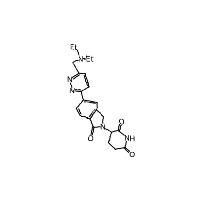 CCN(CC)Cc1ccc(-c2ccc3c(c2)CN(C2CCC(=O)NC2=O)C3=O)nn1